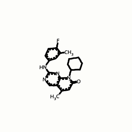 Cc1cc(Nc2ncc3c(C)cc(=O)n(C4CCCCC4)c3n2)ccc1F